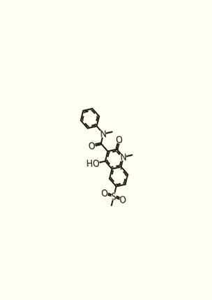 CN(C(=O)c1c(O)c2cc(S(C)(=O)=O)ccc2n(C)c1=O)c1ccccc1